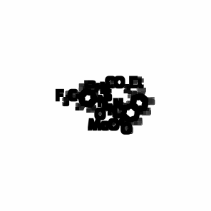 CCOC(=O)N(SN(C(=O)N1CC2(C(=O)OC)CCc3ccccc3C2=N1)c1ccc(C(F)(F)F)cc1)C(C)C